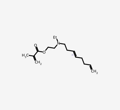 C=CCC/C=C/CCN(CC)CCOC(=O)C(=C)C